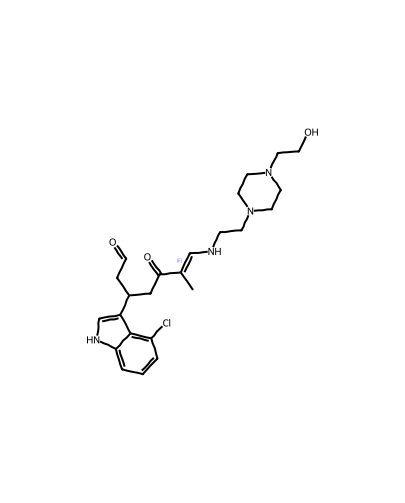 C/C(=C\NCCN1CCN(CCO)CC1)C(=O)CC(CC=O)c1c[nH]c2cccc(Cl)c12